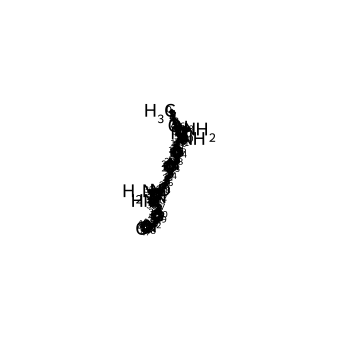 CCCCOc1nc(N)c2[nH]cc(Cc3ccc(CN4CCCC(CCCCOc5nc(N)c6[nH]cc(Cc7ccc(CN8CCOCC8)cc7)c6n5)C4)cc3)c2n1